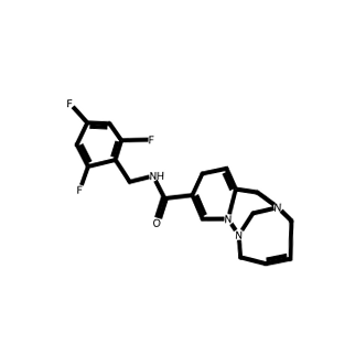 O=C(NCc1c(F)cc(F)cc1F)C1=CN2C(=CC1)CN1CC=CCN2C1